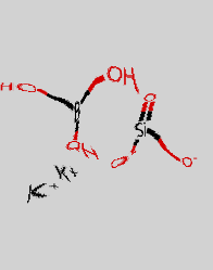 O=[Si]([O-])[O-].OB(O)O.[K+].[K+]